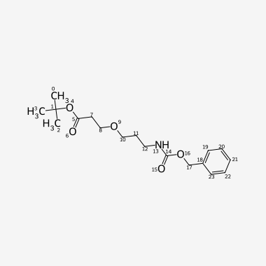 CC(C)(C)OC(=O)CCOCCCNC(=O)OCc1ccccc1